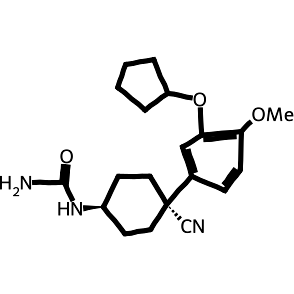 COc1ccc([C@]2(C#N)CC[C@H](NC(N)=O)CC2)cc1OC1CCCC1